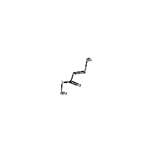 CCCCOC(=O)C=CC(C)(C)C